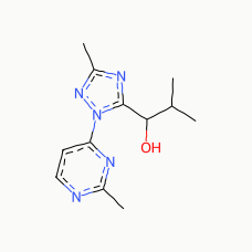 Cc1nccc(-n2nc(C)nc2C(O)C(C)C)n1